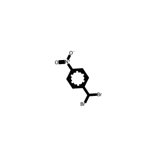 O=[N+]([O-])c1ccc(C(Br)Br)cc1